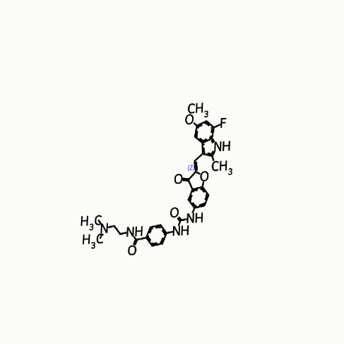 COc1cc(F)c2[nH]c(C)c(/C=C3\Oc4ccc(NC(=O)Nc5ccc(C(=O)NCCN(C)C)cc5)cc4C3=O)c2c1